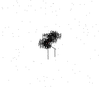 CCCCCCCCCCCCCCCC(=O)OCC(COP(=O)(O)O[C@@H]1[C@H](O[C@H]2O[C@H](CO)[C@@H](O)[C@H](O)[C@@H]2O)[C@H](O)[C@@H](O)[C@H](O)[C@H]1O[C@H]1O[C@H](CO[C@H]2O[C@H](CO[C@H]3O[C@H](CO)[C@@H](O)[C@H](O)[C@@H]3O[C@H]3O[C@H](CO)[C@@H](O)[C@H](O)[C@@H]3O[C@H]3O[C@H](CO)[C@@H](O)[C@H](O)[C@@H]3O)[C@@H](O)[C@H](O)[C@@H]2O)[C@@H](O)[C@H](O)[C@@H]1O)OC(=O)CCCCCCCC(C)CCCCCCCCCC